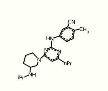 CCCc1cc(N2CCCC(NC(C)C)C2)nc(Nc2ccc(C)c(C#N)c2)n1